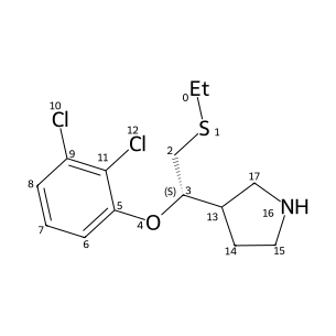 CCSC[C@@H](Oc1cccc(Cl)c1Cl)C1CCNC1